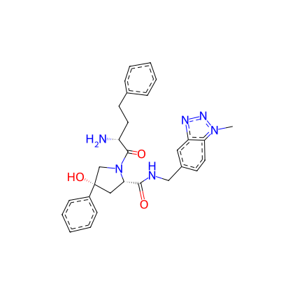 Cn1nnc2cc(CNC(=O)[C@@H]3C[C@@](O)(c4ccccc4)CN3C(=O)[C@H](N)CCc3ccccc3)ccc21